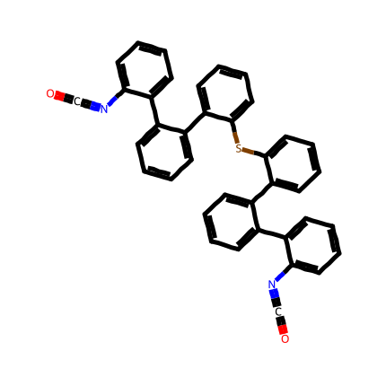 O=C=Nc1ccccc1-c1ccccc1-c1ccccc1Sc1ccccc1-c1ccccc1-c1ccccc1N=C=O